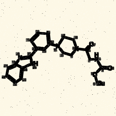 CC(C)(C)OC(=O)NCC(=O)N1CCN(c2cccc(-c3nc4ccccc4[nH]3)c2)CC1